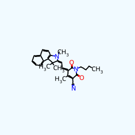 CCCCN1C(=O)C(C#N)=C(C)/C(=C/C=C2/N(C)c3ccc4ccccc4c3C2(C)C)C1=O